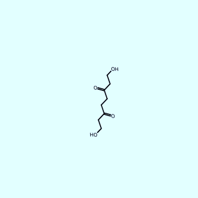 O=C(CCO)CCC(=O)CCO